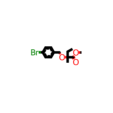 CCC(C)(OCc1ccc(Br)cc1)C(=O)OC